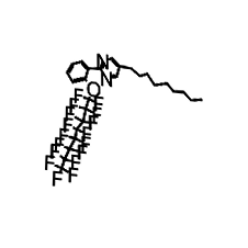 CCCCCCCCCc1cnc(-c2ccccc2OC(F)(F)C(F)(F)C(F)(F)C(F)(F)C(F)(F)C(F)(F)C(F)(F)C(F)(F)F)nc1